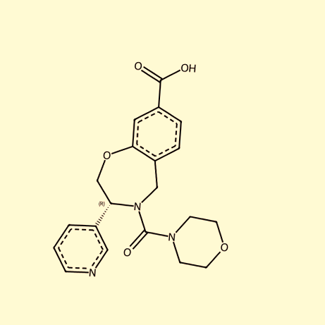 O=C(O)c1ccc2c(c1)OC[C@@H](c1cccnc1)N(C(=O)N1CCOCC1)C2